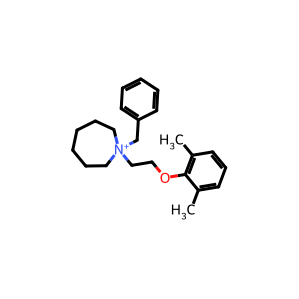 Cc1cccc(C)c1OCC[N+]1(Cc2ccccc2)CCCCCC1